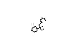 OC(c1ccccn1)C1(c2ccc(F)c(F)c2)CCC1